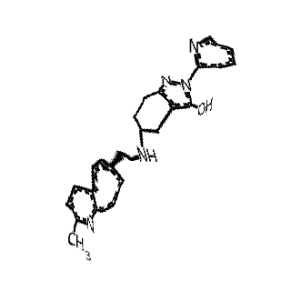 Cc1ccc2cc(CNC3CCc4nn(-c5ccccn5)c(O)c4C3)ccc2n1